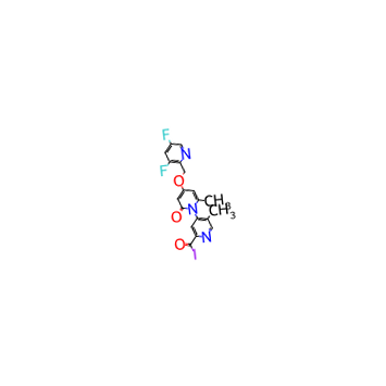 Cc1cnc(C(=O)I)cc1-n1c(C)cc(OCc2ncc(F)cc2F)cc1=O